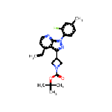 C=Cc1ccnc2c1c(C1CN(C(=O)OC(C)(C)C)C1)nn2-c1ccc(C)cc1F